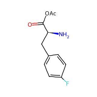 CC(=O)OC(=O)[C@@H](N)Cc1ccc(F)cc1